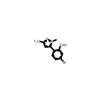 Cn1nc(C(F)(F)F)cc1-c1ccc(Br)cc1C=O